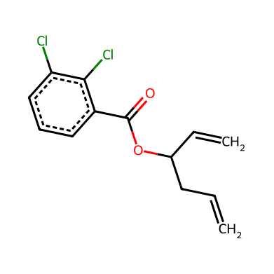 C=CCC(C=C)OC(=O)c1cccc(Cl)c1Cl